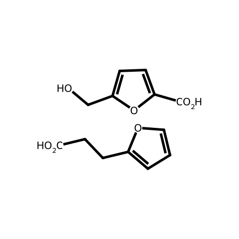 O=C(O)CCc1ccco1.O=C(O)c1ccc(CO)o1